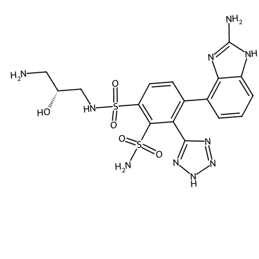 NC[C@@H](O)CNS(=O)(=O)c1ccc(-c2cccc3[nH]c(N)nc23)c(-c2nn[nH]n2)c1S(N)(=O)=O